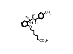 [2H]C([2H])(c1ccccc1OCCCCCC(=O)O)N(C(=O)c1ccc(C)cc1)C(C)C